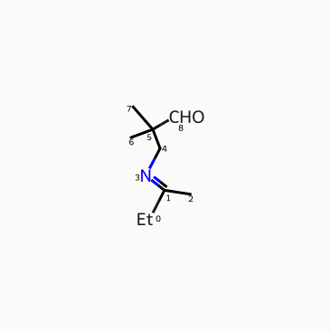 CCC(C)=NCC(C)(C)C=O